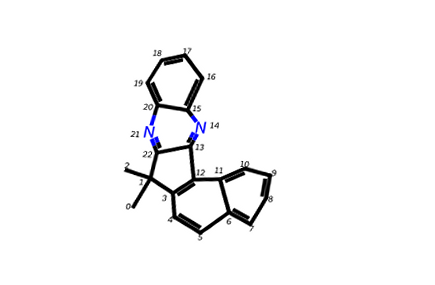 CC1(C)c2ccc3ccccc3c2-c2nc3ccccc3nc21